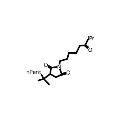 CCCCCC(C)(C)C1CC(=O)N(CCCCCC(=O)C(C)C)C1=O